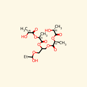 CCC(O)OCC(COC(=O)[C@H](C)OC(=O)[C@@H](C)O)OC(=O)[C@H](C)OC(=O)[C@@H](C)O